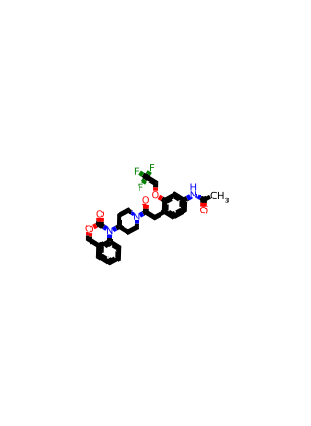 CC(=O)Nc1ccc(CC(=O)N2CCC(N3C(=O)OCc4ccccc43)CC2)c(OCC(F)(F)F)c1